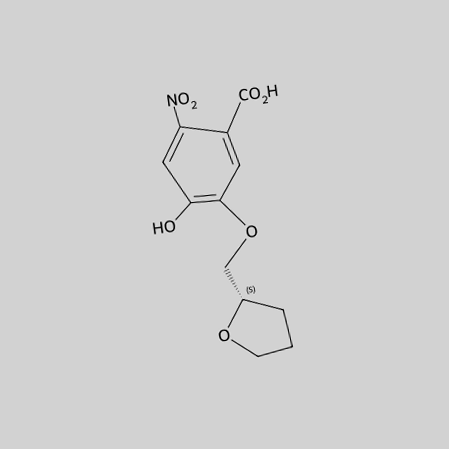 O=C(O)c1cc(OC[C@@H]2CCCO2)c(O)cc1[N+](=O)[O-]